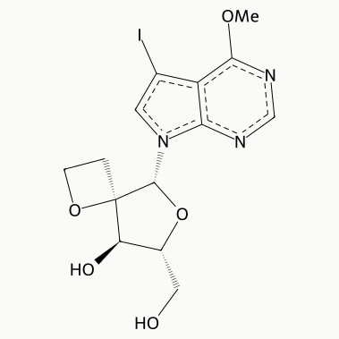 COc1ncnc2c1c(I)cn2[C@@H]1O[C@H](CO)[C@@H](O)[C@]12CCO2